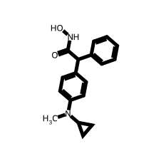 CN(c1ccc(C(C(=O)NO)c2ccccc2)cc1)C1CC1